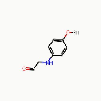 [2H]Oc1ccc(NC[C]=O)cc1